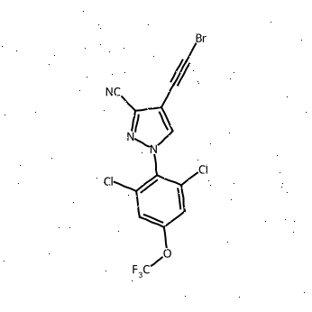 N#Cc1nn(-c2c(Cl)cc(OC(F)(F)F)cc2Cl)cc1C#CBr